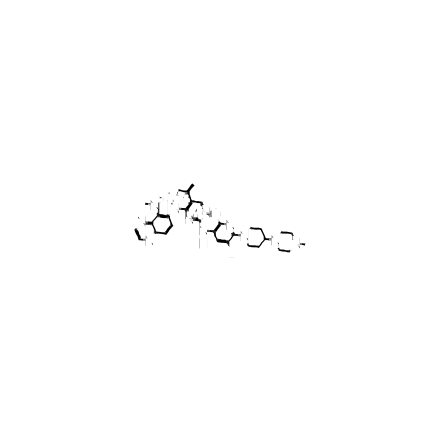 C=C(C)c1cnc(Nc2cc(CC)c(N3CCC(N4CCN(C)CC4)CC3)nc2OC)nc1Nc1ccc2nccnc2c1N(C)SC